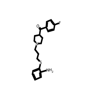 Nc1ccccc1SCCCN1CCC(C(=O)c2ccc(F)cc2)CC1